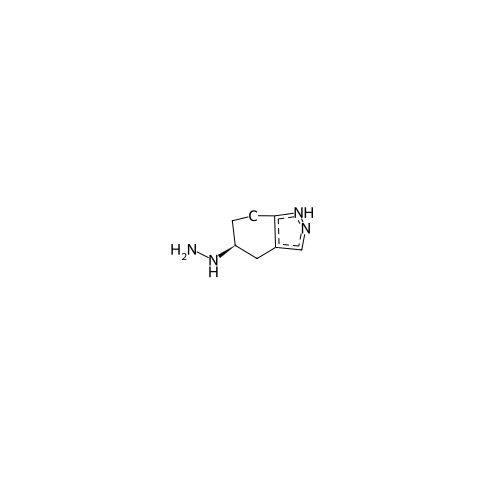 NN[C@H]1CCc2[nH]ncc2C1